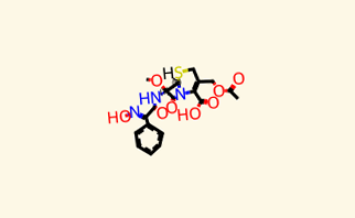 CO[C@@]1(NC(=O)C(=NO)c2ccccc2)C(=O)N2C(C(=O)O)=C(COC(C)=O)CS[C@@H]21